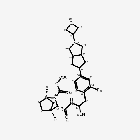 CC(C)(C)OC(=O)N1[C@@H]2CC[C@@H](C2)[C@H]1C(=O)N[C@H](C#N)Cc1ccc(C2CC3CN(C4COC4)CC3C2)cc1F